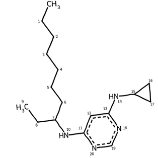 CCCCCCCC(CC)Nc1cc(NC2CC2)ncn1